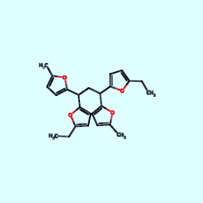 CCc1ccc(C(CC(c2ccc(C)o2)c2ccc(CC)o2)c2ccc(C)o2)o1